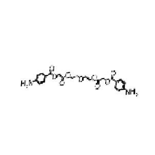 Nc1ccc(C(=O)OCC(=O)OCCOCCOC(=O)COC(=O)c2ccc(N)cc2)cc1